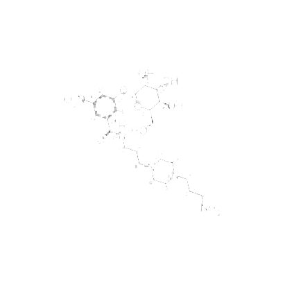 NCCCN1CCN(CCCNC(=O)c2cc(O[C@H]3O[C@H](CO)[C@H](O)[C@H](O)[C@H]3O)cc([N+](=O)[O-])c2)CC1